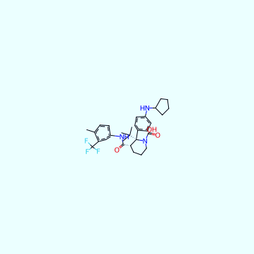 Cc1ccc(NC(=O)[C@H]2CCCN(C(=O)O)[C@@]2(c2ccc(NC3CCCC3)cc2)C(C)(C)C)cc1C(F)(F)F